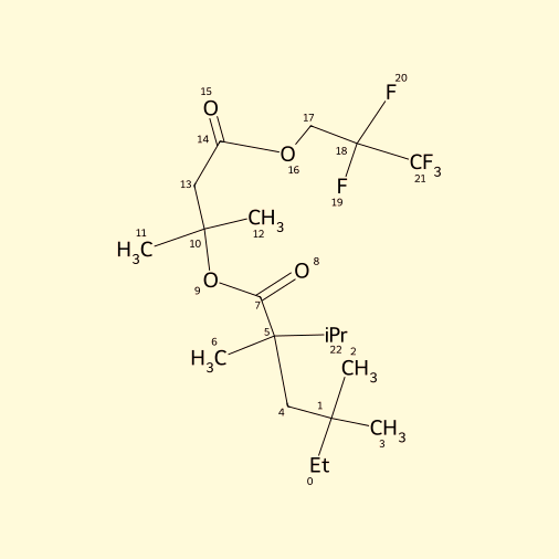 CCC(C)(C)CC(C)(C(=O)OC(C)(C)CC(=O)OCC(F)(F)C(F)(F)F)C(C)C